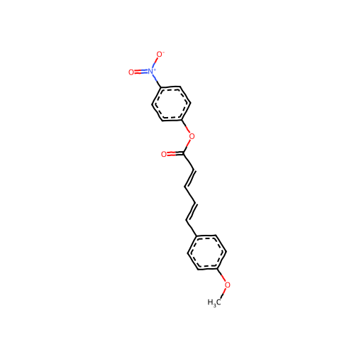 COc1ccc(C=CC=CC(=O)Oc2ccc([N+](=O)[O-])cc2)cc1